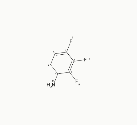 NC1CC=C(F)C(F)=C1F